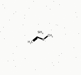 C=C[B]C.[SiH4]